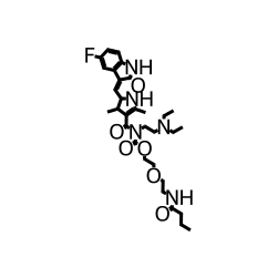 CCCC(=O)NCCOCCOC(=O)N(CCN(CC)CC)C(=O)C1=C(C)NC(/C=C2\C(=O)Nc3ccc(F)cc32)C1C